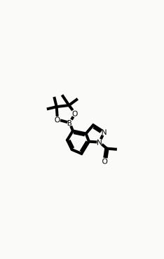 CC(=O)n1ncc2c(B3OC(C)(C)C(C)(C)O3)cccc21